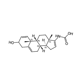 C[C@]12C=CC(O)CC1=CC[C@@H]1[C@H]2CC[C@]2(C)C(NC(=O)O)=CC[C@@H]12